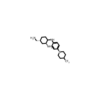 NC[C@@H]1CCC(Nc2ccc(N3CCC(C(F)(F)F)CC3)cc2)[C@@H](N)C1